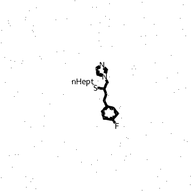 CCCCCCCSC(CCc1ccc(F)cc1)Cn1ccnc1